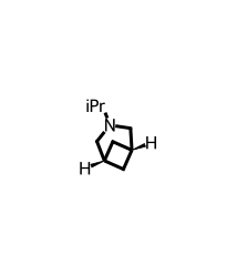 CC(C)N1C[C@H]2C[C@@H](C1)C2